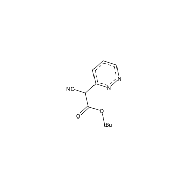 CC(C)(C)OC(=O)C(C#N)c1cccnn1